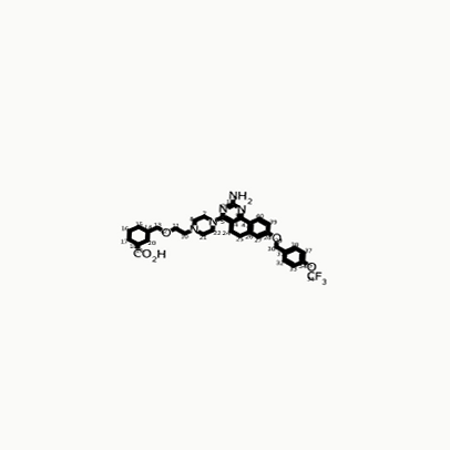 Nc1nc2c(c(N3CCN(CCOCC4CCCC(C(=O)O)C4)CC3)n1)CCc1cc(OCc3ccc(OC(F)(F)F)cc3)ccc1-2